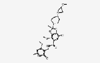 COc1c(C(=O)NCc2c(SC)cc(C)[nH]c2=O)cc(Cl)c2c1O[C@](C)([C@H]1CC[C@@H](N3CC(OC)C3)CC1)O2